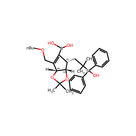 CCCCOCC1=C(B(O)O)[C@H](CC(C)(C)[Si](O)(c2ccccc2)c2ccccc2)[C@@H]2OC(C)(C)O[C@H]12